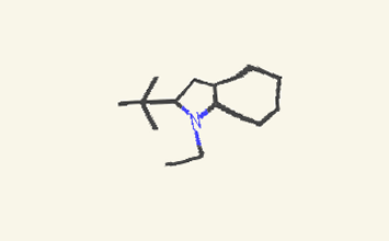 CCN1C2CCCCC2CC1C(C)(C)C